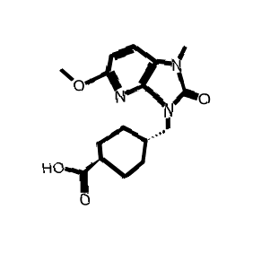 COc1ccc2c(n1)n(C[C@H]1CC[C@H](C(=O)O)CC1)c(=O)n2C